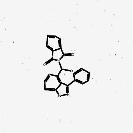 CCC(c1cccc2[nH]nc(-c3ccccc3)c12)N1C(=O)c2ccccc2C1=O